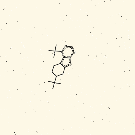 CC(C)(C)c1ncnc2sc3c(c12)CCC(C(C)(C)C)C3